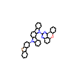 c1ccc2c(c1)Oc1cccc3nc(-n4c5ccccc5c5ccc6c(c7ccccc7n6-c6ccc7sc8ccccc8c7c6)c54)nc-2c13